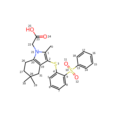 Cc1c(Sc2ccccc2S(=O)(=O)c2ccccc2)c2c(n1CC(=O)O)CCC(C)(C)C2